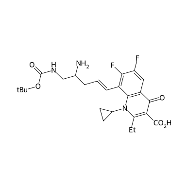 CCc1c(C(=O)O)c(=O)c2cc(F)c(F)c(C=CCC(N)CNC(=O)OC(C)(C)C)c2n1C1CC1